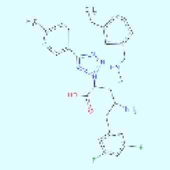 CCc1cccc(CNC[C@H](C(N)Cc2cc(F)cc(F)c2)[C@@H](C(=O)O)n2nnc(-c3ccc(C)cc3)n2)c1